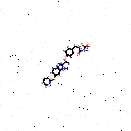 CC(Oc1ccc(CC2SC(=O)NC2=O)cc1)c1nc2ccc(Sc3ccccn3)cc2[nH]1